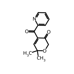 CC1(C)C=C(C(=O)c2ccccn2)C(=O)CO1